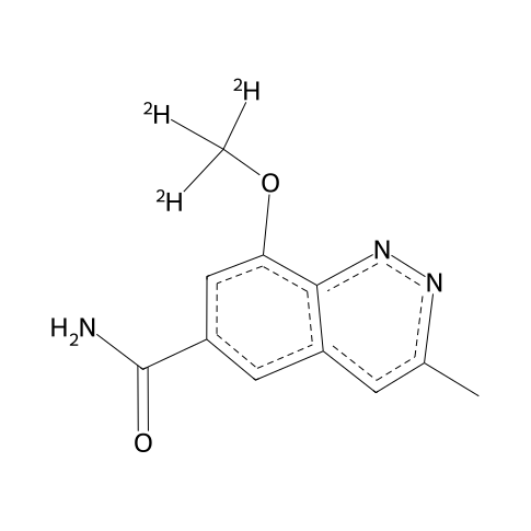 [2H]C([2H])([2H])Oc1cc(C(N)=O)cc2cc(C)nnc12